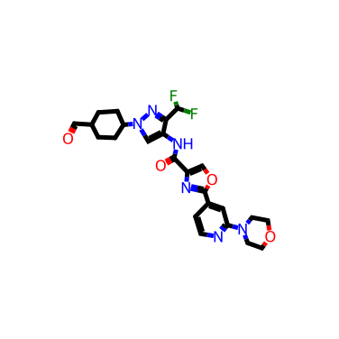 O=CC1CCC(n2cc(NC(=O)c3coc(-c4ccnc(N5CCOCC5)c4)n3)c(C(F)F)n2)CC1